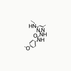 CCNc1cc(C)nc(NC(=O)Nc2ccc(OC)cc2)n1